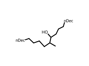 CCCCCCCCCCCCCCC(C)C(O)CCCCCCCCCCCCC